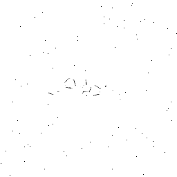 C=CCOc1cccc(N2C(=O)c3ccc(C(=O)OCC(O)CC)cc3C2=O)c1